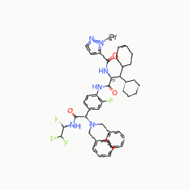 CC(C)n1nccc1C(=O)N[C@H](C(=O)Nc1ccc(C(C(=O)NC(F)C(F)F)N(Cc2ccccc2)Cc2ccccc2)cc1F)C(C1CCCCC1)C1CCCCC1